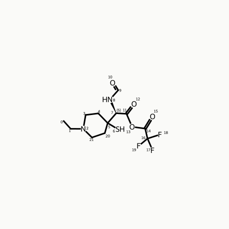 CCN1CCC(S)([C@@H](NC=O)C(=O)OC(=O)C(F)(F)F)CC1